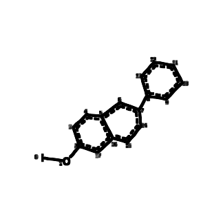 IOc1ccc2cc(-c3ccccc3)ccc2c1